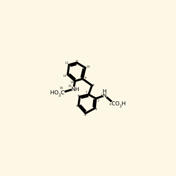 O=C(O)Nc1ccccc1Cc1ccccc1NC(=O)O